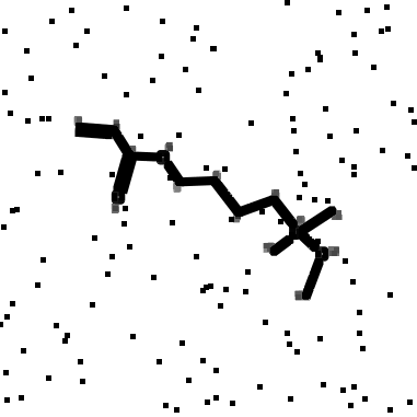 C=CC(=O)OCCCC[Si](C)(C)OC